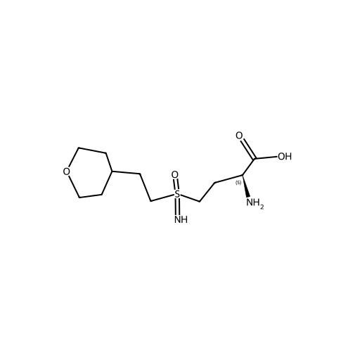 N=S(=O)(CCC1CCOCC1)CC[C@H](N)C(=O)O